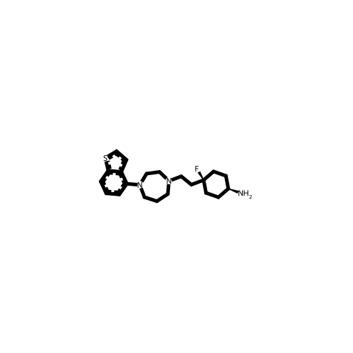 N[C@H]1CC[C@](F)(CCN2CCCN(c3cccc4sccc34)CC2)CC1